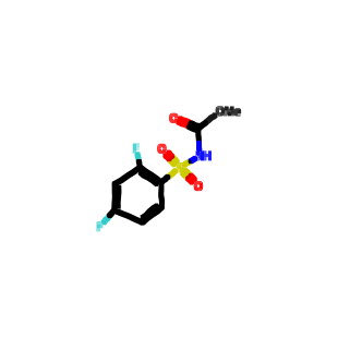 COC(=O)NS(=O)(=O)c1ccc(F)cc1F